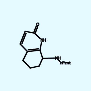 CCCCCNC1CCCc2ccc(=O)[nH]c21